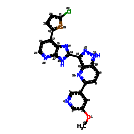 COc1cncc(-c2ccc3[nH]nc(-c4nc5c(-c6ccc(Cl)s6)ccnc5[nH]4)c3n2)c1